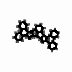 c1ccc2c(c1)c1ccccc1c1c2nc2n1c1cccc3c1n2c1nc2c4ccccc4c4ccccc4c2n31